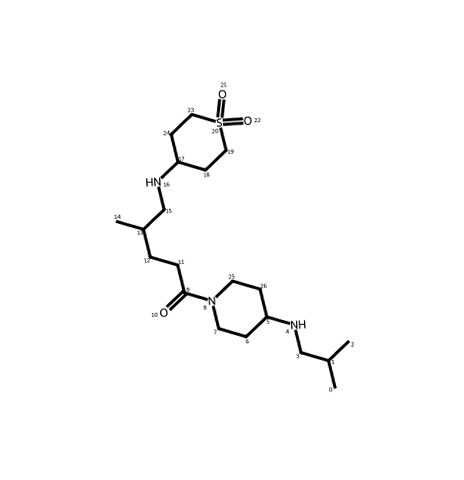 CC(C)CNC1CCN(C(=O)CCC(C)CNC2CCS(=O)(=O)CC2)CC1